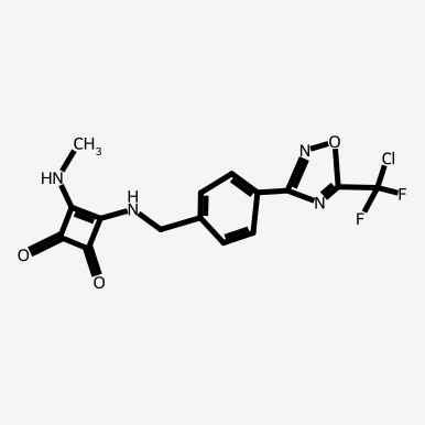 CNc1c(NCc2ccc(-c3noc(C(F)(F)Cl)n3)cc2)c(=O)c1=O